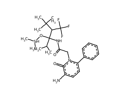 CC(C)C(NC(=O)Cn1c(-c2ccccc2)ccc(N)c1=O)(O[SiH](C)C)C(C(C)(C)C)C(F)(F)F